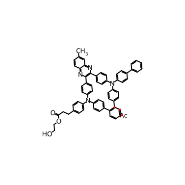 CC(=O)CCc1ccc(N(c2ccc(-c3ccccc3)cc2)c2ccc(-c3nc4cc(C)ccc4nc3-c3ccc(N(c4ccc(CCC(=O)OCCO)cc4)c4ccc(-c5ccccc5)cc4)cc3)cc2)cc1